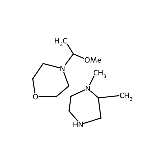 CC1CNCCN1C.COC(C)N1CCOCC1